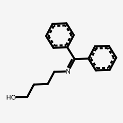 OCCCCN=C(c1ccccc1)c1ccccc1